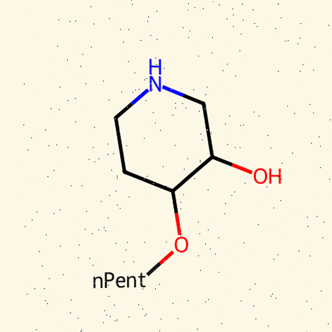 CCCCCOC1CCNCC1O